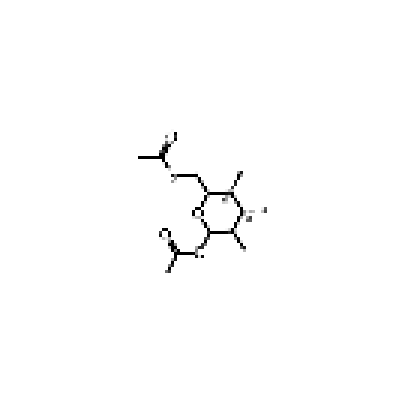 CC(=O)OC1OC(CSC(C)=O)[C@@H](C)[C@H](C)C1C